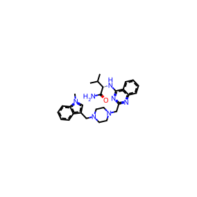 CC(C)[C@H](Nc1nc(CN2CCN(Cc3cn(C)c4ccccc34)CC2)nc2ccccc12)C(N)=O